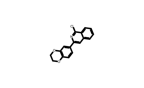 Clc1nc(-c2ccc3c(c2)OCCO3)cc2ccccc12